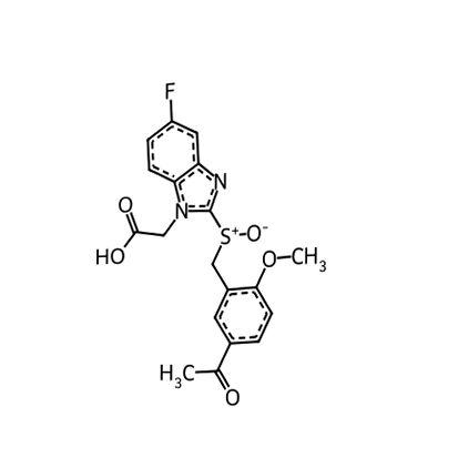 COc1ccc(C(C)=O)cc1C[S+]([O-])c1nc2cc(F)ccc2n1CC(=O)O